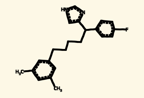 Cc1cc(C)cc(CCCCC(c2ccc(F)cc2)c2c[nH]cn2)c1